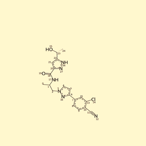 CC(Cn1ccc(-c2ccc(C#N)c(Cl)c2)n1)NC(=O)c1cc([C@@H](C)O)[nH]n1